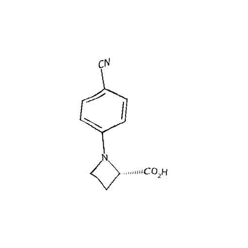 N#Cc1ccc(N2CC[C@H]2C(=O)O)cc1